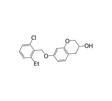 CCc1cccc(Cl)c1COc1ccc2c(c1)OCC(O)C2